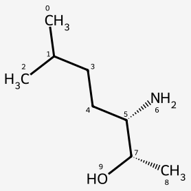 CC(C)CC[C@H](N)[C@H](C)O